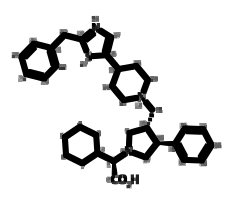 O=C(O)[C@@H](C1CCCCC1)N1C[C@H](CN2CCC(c3cnc(Cc4ccccc4)s3)CC2)[C@@H](c2ccccc2)C1